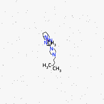 CC(C)CCCN1CCN(c2cnc(N3C4CCC3CN(C)C4)nc2)CC1